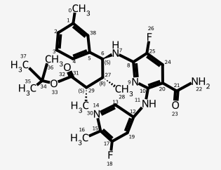 Cc1cccc([C@@H](Nc2nc(Nc3cnc(C)c(F)c3)c(C(N)=O)cc2F)[C@H](C)[C@H](C)C(=O)OC(C)(C)C)c1